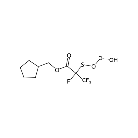 O=C(OCC1CCCC1)C(F)(SOOO)C(F)(F)F